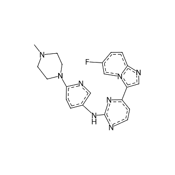 CN1CCN(c2ccc(Nc3nccc(-c4cnc5ccc(F)cn45)n3)cn2)CC1